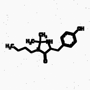 CCCCN1C(=O)C(Cc2ccc(O)cc2)NC1(C)C